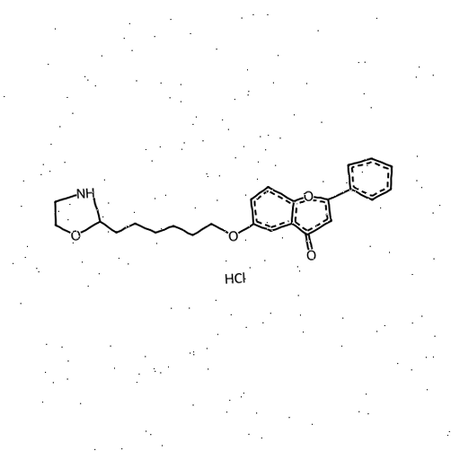 Cl.O=c1cc(-c2ccccc2)oc2ccc(OCCCCCCC3CNCCO3)cc12